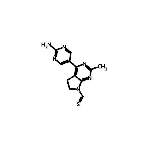 Cc1nc(-c2cnc(N)nc2)c2c(n1)N(C=S)CC2